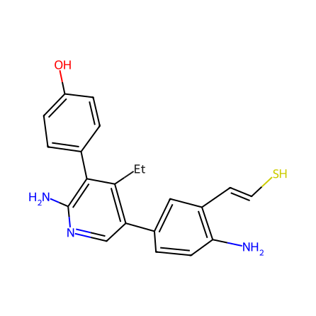 CCc1c(-c2ccc(N)c(/C=C/S)c2)cnc(N)c1-c1ccc(O)cc1